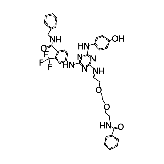 O=C(NCCOCCOCCNc1nc(Nc2ccc(O)cc2)nc(Nc2ccc(C(=O)NCc3ccccc3)c(C(F)(F)F)c2)n1)c1ccccc1